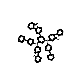 c1ccc(-c2ccc(N(c3cc(-c4ccc5sc6ccccc6c5c4)cc(N(c4ccc(-c5ccccc5)cc4)c4ccc5c(c4)sc4ccccc45)c3)c3ccc4c(c3)oc3ccccc34)cc2)cc1